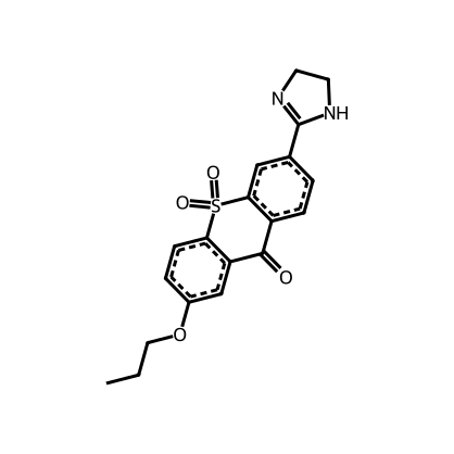 CCCOc1ccc2c(c1)C(=O)c1ccc(C3=NCCN3)cc1S2(=O)=O